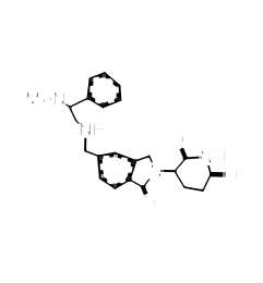 CNC(CNCc1ccc2c(c1)CN(C1CCC(=O)NC1=O)C2=O)c1ccccc1